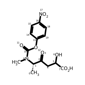 C[C@@H](C(=O)CC(O)C(=O)O)N(C)C(=O)Oc1ccc([N+](=O)[O-])cc1